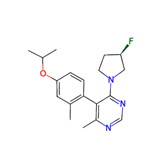 Cc1cc(OC(C)C)ccc1-c1c(C)ncnc1N1CC[C@@H](F)C1